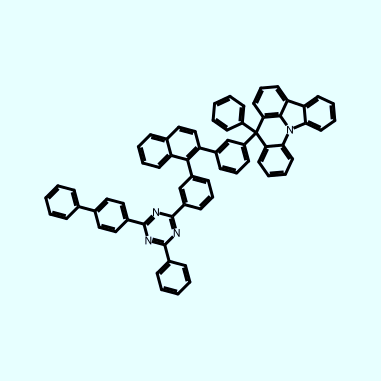 c1ccc(-c2ccc(-c3nc(-c4ccccc4)nc(-c4cccc(-c5c(-c6cccc(C7(c8ccccc8)c8ccccc8-n8c9ccccc9c9cccc7c98)c6)ccc6ccccc56)c4)n3)cc2)cc1